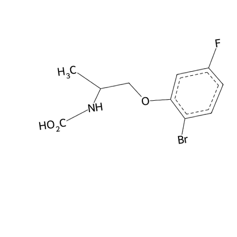 CC(COc1cc(F)ccc1Br)NC(=O)O